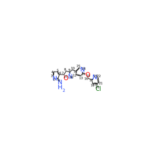 Nc1ncccc1C1CC(Cc2ccc(OCc3cc(Cl)ccn3)nc2)=NO1